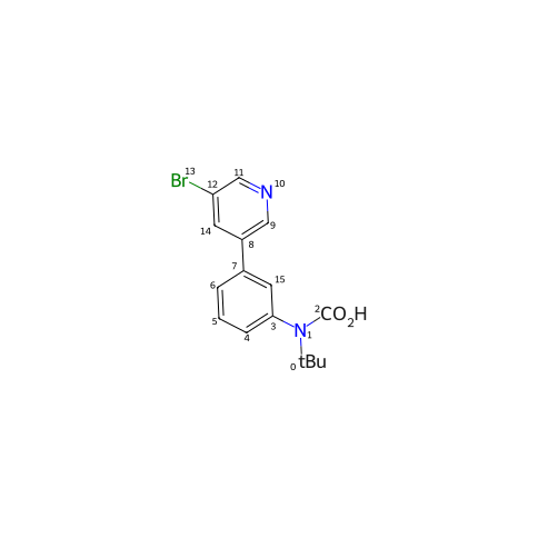 CC(C)(C)N(C(=O)O)c1cccc(-c2cncc(Br)c2)c1